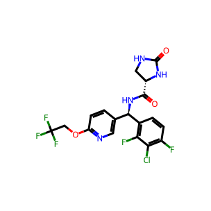 O=C1NC[C@@H](C(=O)N[C@H](c2ccc(OCC(F)(F)F)nc2)c2ccc(F)c(Cl)c2F)N1